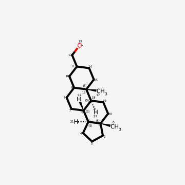 C[C@@]12CCC[C@H]1[C@@H]1CCC3CC(C[O])CC[C@]3(C)[C@H]1CC2